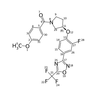 COc1ccc(C(=O)N2CC[C@@H](Oc3ccc(-c4noc(C(F)(F)F)n4)cc3F)C2)cc1